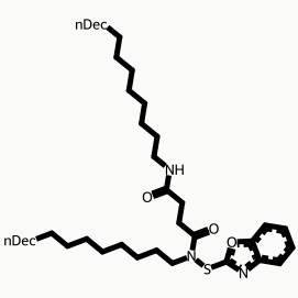 CCCCCCCCCCCCCCCCCCNC(=O)CCC(=O)N(CCCCCCCCCCCCCCCCCC)Sc1nc2ccccc2o1